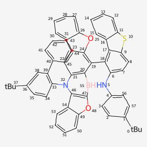 CC(C)(C)c1ccc(Nc2ccc3sc4ccccc4c3c2-c2c3c(cc4c2oc2ccccc24)N(c2ccc(C(C)(C)C)cc2-c2ccccc2)c2c(oc4ccccc24)B3)cc1